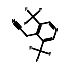 N#CCc1c(C(F)(F)F)cncc1C(F)(F)F